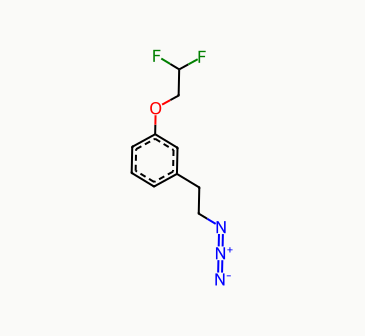 [N-]=[N+]=NCCc1cccc(OCC(F)F)c1